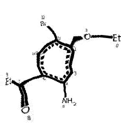 CCOc1cc(N)c(C(=O)CC)cc1Br